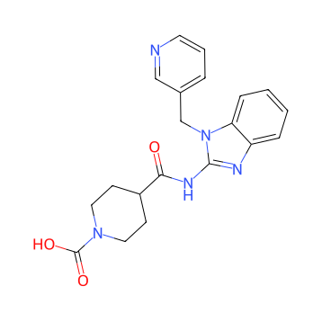 O=C(Nc1nc2ccccc2n1Cc1cccnc1)C1CCN(C(=O)O)CC1